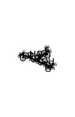 CCC(C)C(=O)OCC(O)COCC(COCC(O)COC(=O)C(C)CC)OCC(O)COC(=O)C(C)CC